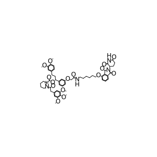 COc1ccc(CCC(OC(=O)[C@@H]2CCCCN2C(=O)Cc2cc(OC)c(OC)c(OC)c2)c2cccc(OCC(=O)NCCCCCCOc3cccc4c3C(=O)N(C3CCC(=O)NC3=O)C4=O)c2)cc1OC